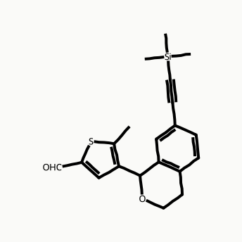 Cc1sc(C=O)cc1C1OCCc2ccc(C#C[Si](C)(C)C)cc21